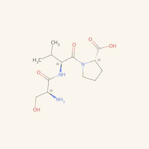 CC(C)[C@H](NC(=O)[C@@H](N)CO)C(=O)N1CCC[C@H]1C(=O)O